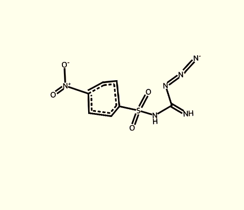 [N-]=[N+]=NC(=N)NS(=O)(=O)c1ccc([N+](=O)[O-])cc1